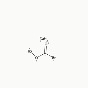 CCC(=O)OO.[CaH2]